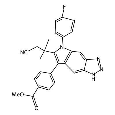 COC(=O)c1ccc(-c2c(C(C)(C)CC#N)n(-c3ccc(F)cc3)c3cc4nn[nH]c4cc23)cc1